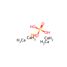 O=P(O)(O)O.P.[CaH2].[CaH2].[CaH2].[CaH2]